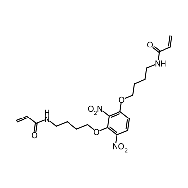 C=CC(=O)NCCCCOc1ccc([N+](=O)[O-])c(OCCCCNC(=O)C=C)c1[N+](=O)[O-]